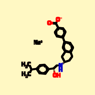 CC(C)c1ccc([C@@H](O)CN[C@H]2CCc3ccc(-c4ccc(C(=O)[O-])cc4)cc3C2)cc1.[Na+]